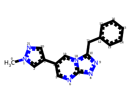 Cn1cc(-c2cnc3nnc(Cc4ccccc4)n3c2)cn1